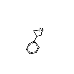 c1ccc(C2C[N]C2)cc1